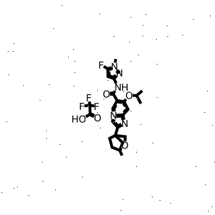 CC(C)Oc1cc2nc(C34CCC(C)(C3)OC4)cn2cc1C(=O)Nc1cc(F)n(C)n1.O=C(O)C(F)(F)F